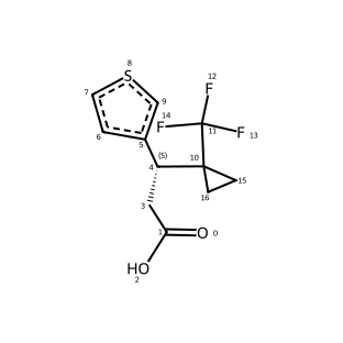 O=C(O)C[C@H](c1ccsc1)C1(C(F)(F)F)CC1